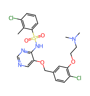 Cc1c(Cl)cccc1S(=O)(=O)Nc1ncncc1OCc1ccc(Cl)c(OCCN(C)C)c1